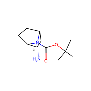 CC(C)(C)OC(=O)N1C2CCC1[C@@H](N)C2